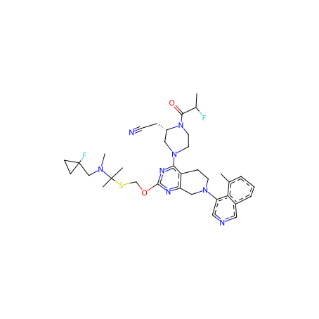 Cc1cccc2cncc(N3CCc4c(nc(OCSC(C)(C)N(C)CC5(F)CC5)nc4N4CCN(C(=O)C(C)F)[C@@H](CC#N)C4)C3)c12